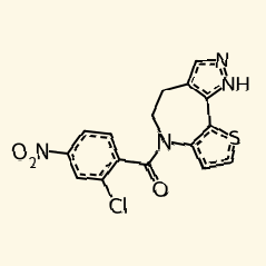 O=C(c1ccc([N+](=O)[O-])cc1Cl)N1CCc2cn[nH]c2-c2sccc21